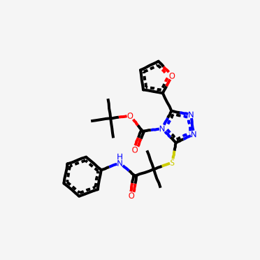 CC(C)(C)OC(=O)n1c(SC(C)(C)C(=O)Nc2ccccc2)nnc1-c1ccco1